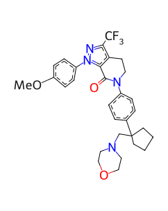 COc1ccc(-n2nc(C(F)(F)F)c3c2C(=O)N(c2ccc(C4(CN5CCOCC5)CCCC4)cc2)CC3)cc1